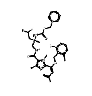 C=C(C)/C=C(/OCc1c(F)cccc1F)c1nc(C)c(C(=O)NCC(C)(CC(F)F)NC(=O)OCc2ccccc2)n1C